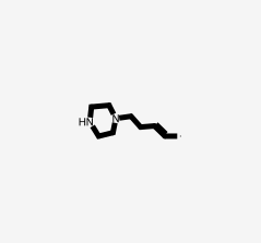 [CH2]C=CCCN1CCNCC1